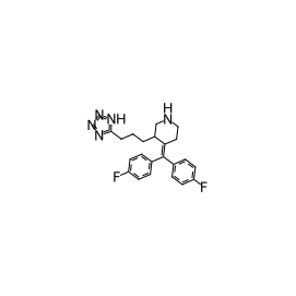 Fc1ccc(C(=C2CCNCC2CCCc2nnn[nH]2)c2ccc(F)cc2)cc1